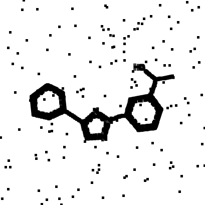 CC(O)c1cccc(-n2ncc(-c3ccccc3)n2)c1